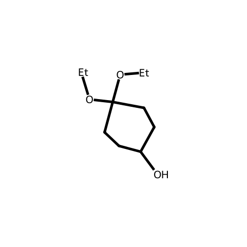 CCOC1(OCC)CCC(O)CC1